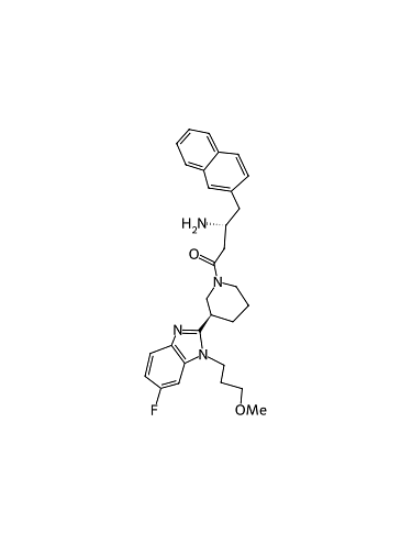 COCCCn1c([C@@H]2CCCN(C(=O)C[C@H](N)Cc3ccc4ccccc4c3)C2)nc2ccc(F)cc21